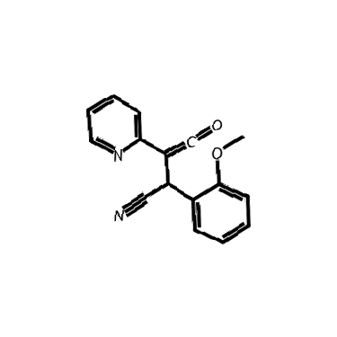 COc1ccccc1C(C#N)C(=C=O)c1ccccn1